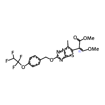 CO/C=C(\C(=O)OC)c1sc2nc(OCc3ccc(OC(F)(F)C(F)F)cc3)nn2c1C